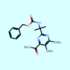 COC(=O)c1nc(C(C)(C)NC(=O)OCc2ccccc2)nc(OC)c1OC